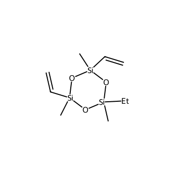 C=C[Si]1(C)O[Si](C)(C=C)O[Si](C)(CC)O1